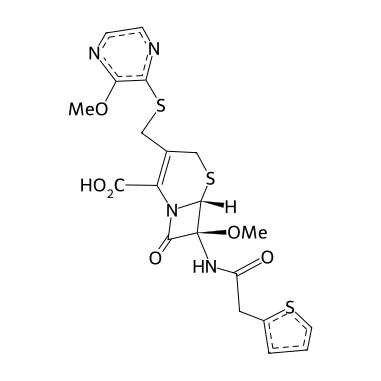 COc1nccnc1SCC1=C(C(=O)O)N2C(=O)[C@](NC(=O)Cc3cccs3)(OC)[C@H]2SC1